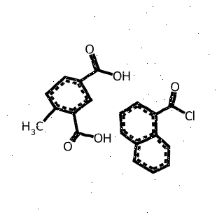 Cc1ccc(C(=O)O)cc1C(=O)O.O=C(Cl)c1cccc2ccccc12